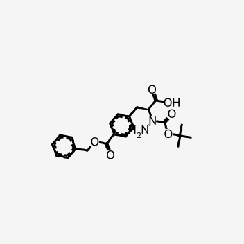 CC(C)(C)OC(=O)N(N)[C@@H](Cc1ccc(C(=O)OCc2ccccc2)cc1)C(=O)O